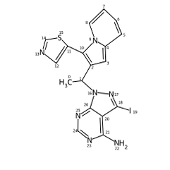 CC(c1cc2ccccn2c1-c1cncs1)n1nc(I)c2c(N)ncnc21